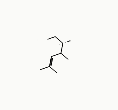 CC(C)=CC(C)[C@@H](CC(=O)O)C(=O)O